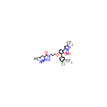 C#CCC(N=[N+]=[N-])C(=O)NCCCOc1ccc(-c2cc(C(F)(F)F)n[nH]2)c(O)c1-c1ccc(Cl)c(C(F)(F)F)c1